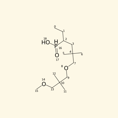 CCC(CC(C)(C)COCC(C)(C)COC)[PH](=O)O